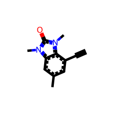 C#Cc1cc(C)cc2c1n(C)c(=O)n2C